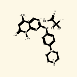 Cc1cc(=O)n(C(C)C)c2nc(Nc3ccc(N4CCNCC4)cc3)ncc12.O=C(O)C(F)(F)F